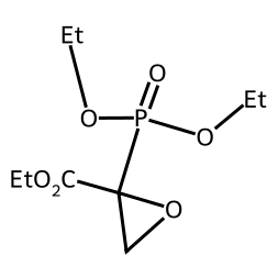 CCOC(=O)C1(P(=O)(OCC)OCC)CO1